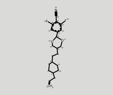 C=CCC1CCC(CCC2COC(c3cc(F)c(C#N)c(F)c3)OC2)CC1